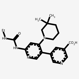 CCNC(=O)Nc1cc(N2CCCC(C)(C)C2)c(-c2cncc(C(=O)O)c2)cn1